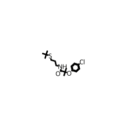 CC(C)(C)SCCCNC(=O)C(C)(C)Oc1ccc(Cl)cc1